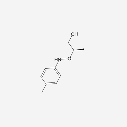 Cc1ccc(NO[C@H](C)CO)cc1